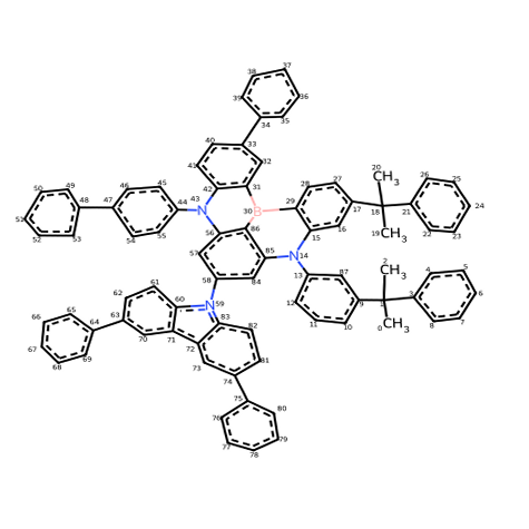 CC(C)(c1ccccc1)c1cccc(N2c3cc(C(C)(C)c4ccccc4)ccc3B3c4cc(-c5ccccc5)ccc4N(c4ccc(-c5ccccc5)cc4)c4cc(-n5c6ccc(-c7ccccc7)cc6c6cc(-c7ccccc7)ccc65)cc2c43)c1